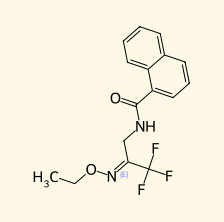 CCO/N=C(\CNC(=O)c1cccc2ccccc12)C(F)(F)F